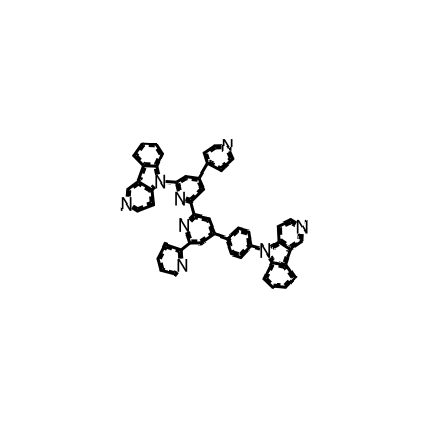 c1ccc(-c2cc(-c3ccc(-n4c5ccccc5c5cnccc54)cc3)cc(-c3cc(-c4ccncc4)cc(-n4c5ccccc5c5cnccc54)n3)n2)nc1